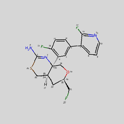 NC1=N[C@@]2(c3cc(-c4cccnc4F)ccc3F)CO[C@@H](CF)C[C@H]2CS1